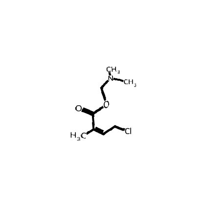 CC(=CCCl)C(=O)OCN(C)C